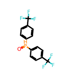 O=[PH](c1ccc(C(F)(F)F)cc1)c1ccc(C(F)(F)F)cc1